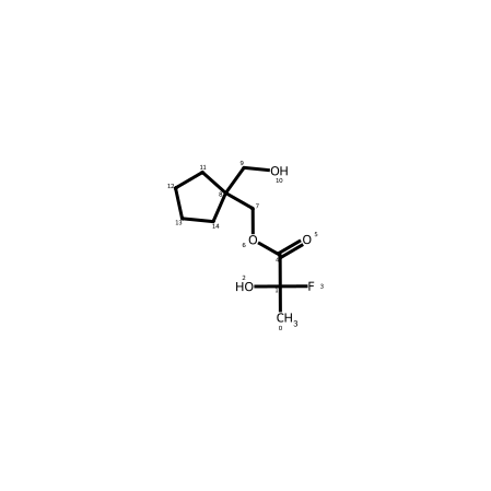 CC(O)(F)C(=O)OCC1(CO)CCCC1